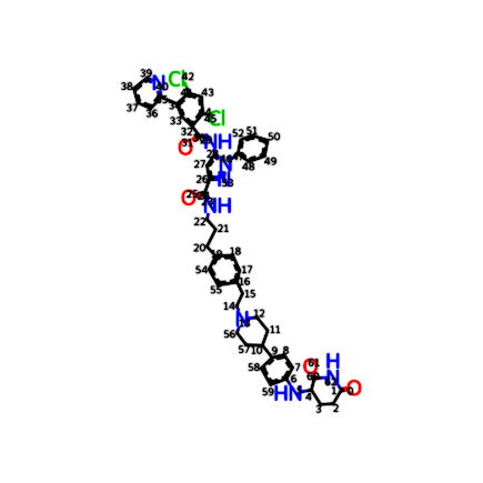 O=C1CCC(Nc2ccc(C3CCN(CCc4ccc(CCCNC(=O)c5cc(NC(=O)c6cc(-c7ccccn7)c(Cl)cc6Cl)n(-c6ccccc6)n5)cc4)CC3)cc2)C(=O)N1